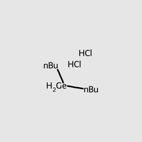 CCC[CH2][GeH2][CH2]CCC.Cl.Cl